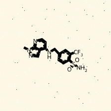 Cn1ncc2c(NCc3ccc(S(N)(=O)=O)c(C(F)(F)F)c3)ccnc21